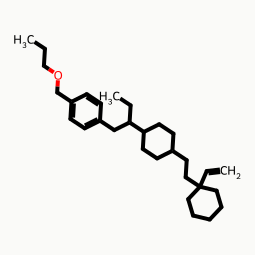 C=CC1(CCC2CCC(C(CC)Cc3ccc(COCCC)cc3)CC2)CCCCC1